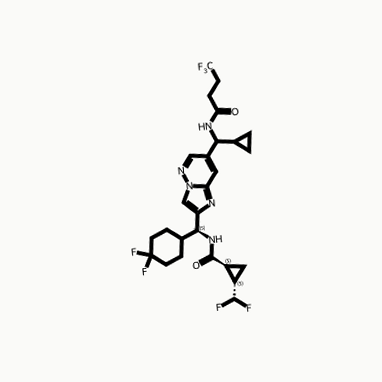 O=C(CCC(F)(F)F)NC(c1cnn2cc([C@@H](NC(=O)[C@H]3C[C@@H]3C(F)F)C3CCC(F)(F)CC3)nc2c1)C1CC1